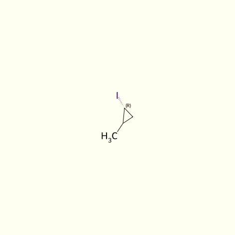 CC1C[C@H]1I